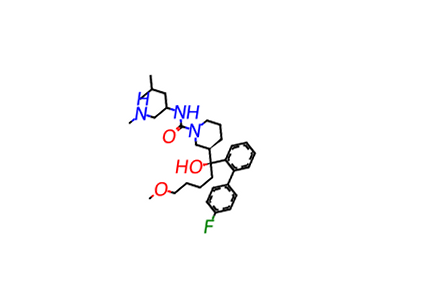 CNCC(CC(C)C)NC(=O)N1CCC[C@@H]([C@@](O)(CCCCOC)c2ccccc2-c2ccc(F)cc2)C1